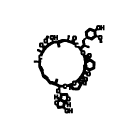 CO[C@@H]1C[C@H](C[C@@H](C)[C@@H]2CC(=O)[C@H](C)/C=C(\C)[C@@H](O)[C@@H](OC)C(=O)[C@H](C)C[C@H](C)/C=C/C=C/C=C(\C)[C@H](O[C@@H]3CO[C@H]4[C@@H]3OC[C@@H]4O)C[C@@H]3CC[C@@H](C)[C@@](O)(O3)C(=O)C(=O)N3CCCC[C@H]3C(=O)O2)CC[C@H]1O